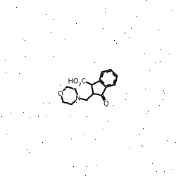 O=C1c2ccccc2C(C(=O)O)C1CN1CCOCC1